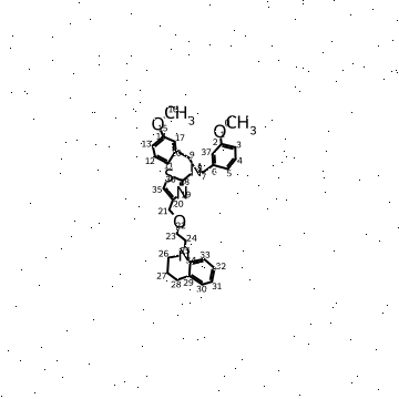 COc1cccc(CN(Cc2cccc(OC)c2)c2nc(COCCN3CCCc4ccccc43)cs2)c1